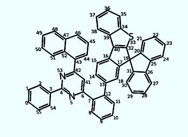 c1ccc(-c2nc(-c3ccccc3-c3ccc4c(c3)C3(c5ccccc5-c5ccccc53)c3sc5ccccc5c3-4)cc(-c3cccc4ccccc34)n2)cc1